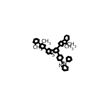 Cc1ccccc1-c1ccc(-c2ccc3sc4c(-c5ccc(-c6nc7ccccc7n6-c6ccccc6)cc5)cc(-c5ccc6c(c5)C(C)(C)C5=C6CCC=C5)cc4c3c2)cc1C